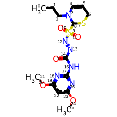 CCCN1C=CCSC1S(=O)(=O)N=NC(=O)Nc1nc(OC)cc(OC)n1